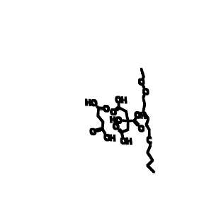 CCCCCCCCCCCCOOCC.O=C(O)CC(O)(CC(=O)O)C(=O)O.O=C(O)CCC(=O)O